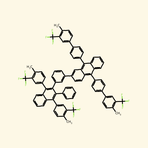 Cc1ccc(-c2ccc(-c3c4ccccc4c(-c4ccc(-c5ccc(C)c(C(F)(F)F)c5)cc4)c4cc(-c5cccc(-c6c(-c7ccccc7)c(-c7ccc(C)c(C(F)(F)F)c7)c7ccccc7c6-c6ccc(C)c(C(F)(F)F)c6)c5)ccc34)cc2)cc1C(F)(F)F